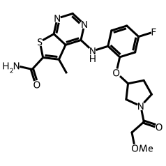 COCC(=O)N1CCC(Oc2cc(F)ccc2Nc2ncnc3sc(C(N)=O)c(C)c23)C1